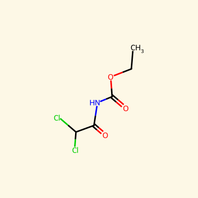 CCOC(=O)NC(=O)C(Cl)Cl